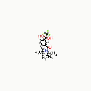 CC(C)N(C(=O)c1cccc(C(O)(O)C(F)(F)F)c1)C(C)(C)C